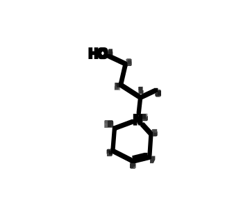 CC(CCO)N1CC=CCC1